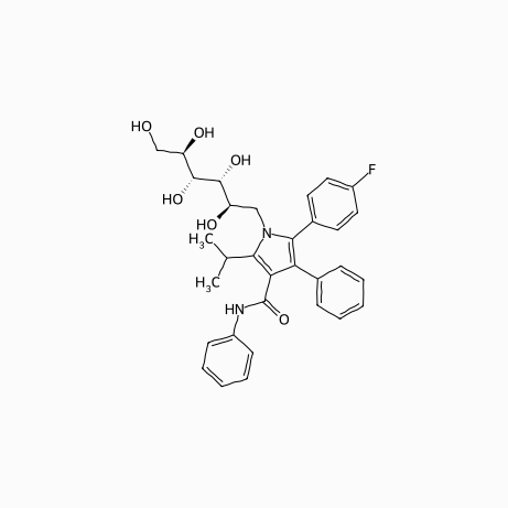 CC(C)c1c(C(=O)Nc2ccccc2)c(-c2ccccc2)c(-c2ccc(F)cc2)n1C[C@@H](O)[C@@H](O)[C@H](O)[C@H](O)CO